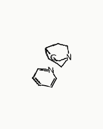 C1CN2CCC1CC2.c1ccncc1